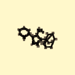 Nc1c(-c2ccccn2)nnn1C12CC3CC(CC(C3)C1)C2